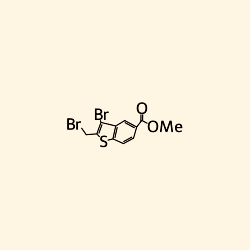 COC(=O)c1ccc2sc(CBr)c(Br)c2c1